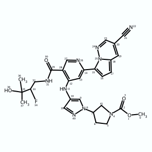 COC(=O)N1CCC(n2cc(Nc3cc(-c4ccc5cc(C#N)cnn45)ncc3C(=O)NCC(F)C(C)(C)O)cn2)C1